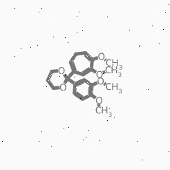 COC1=CCC=C(C2(c3ccc(OC)c(OC)c3)OCCCO2)C=C1OC